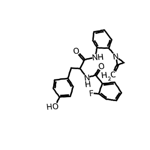 C=C1CN1c1ccccc1NC(=O)C(Cc1ccc(O)cc1)NC(=O)c1ccccc1F